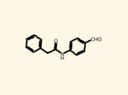 O=Cc1ccc(NC(=O)Cc2ccccc2)cc1